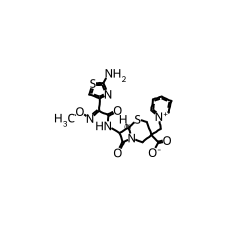 CON=C(C(=O)NC1C(=O)N2CC(C[n+]3ccccc3)(C(=O)[O-])CS[C@H]12)c1csc(N)n1